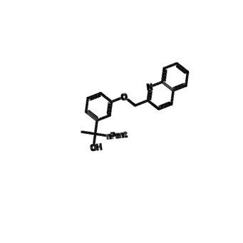 CCCCCC(C)(O)c1cccc(OCc2ccc3ccccc3n2)c1